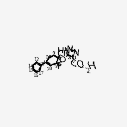 O=C(O)c1nn[nH]c1OC1(C(F)(F)F)C=CC(c2ccccc2)=CC1F